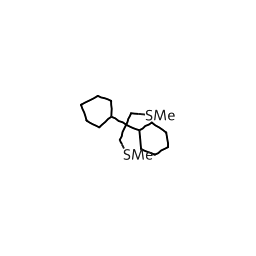 CSCC(CSC)(C1CCCCC1)C1CCCCC1